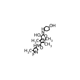 Cc1cc(NC(=O)c2c(C)c(C(O)C(=O)N[C@H]3CC[C@@H](O)CC3)n(C)c2C)cnc1F